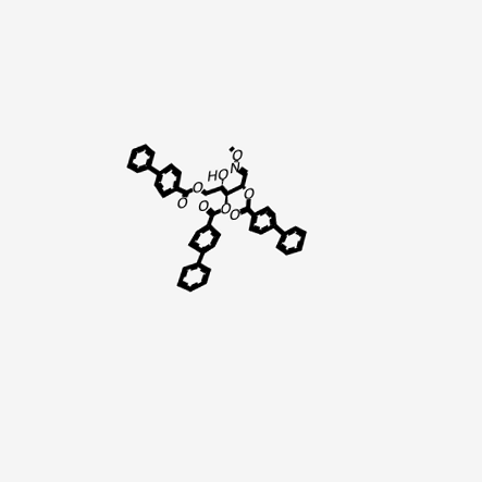 CO/N=C/[C@@H](OC(=O)c1ccc(-c2ccccc2)cc1)[C@@H](OC(=O)c1ccc(-c2ccccc2)cc1)[C@@H](O)COC(=O)c1ccc(-c2ccccc2)cc1